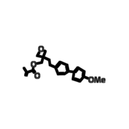 C=C(C)C(=O)OCC1(CCc2ccc(-c3ccc(OC)cc3)cc2)COC1